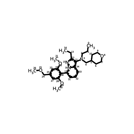 CCCN(CC1CCOCC1)c1c(CC)nn2c(-c3c(OC)cc(COC)cc3OC)cccc12